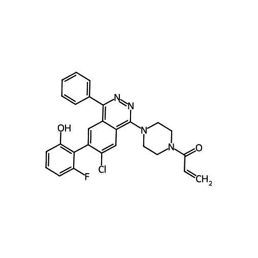 C=CC(=O)N1CCN(c2nnc(-c3ccccc3)c3cc(-c4c(O)cccc4F)c(Cl)cc23)CC1